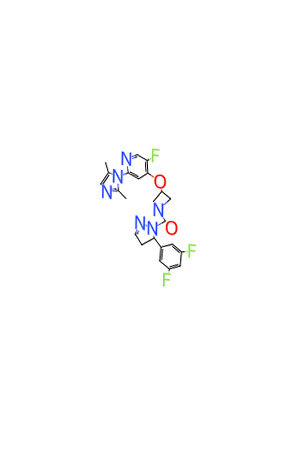 Cc1cnc(C)n1-c1cc(OC2CN(C(=O)N3N=CCC3c3cc(F)cc(F)c3)C2)c(F)cn1